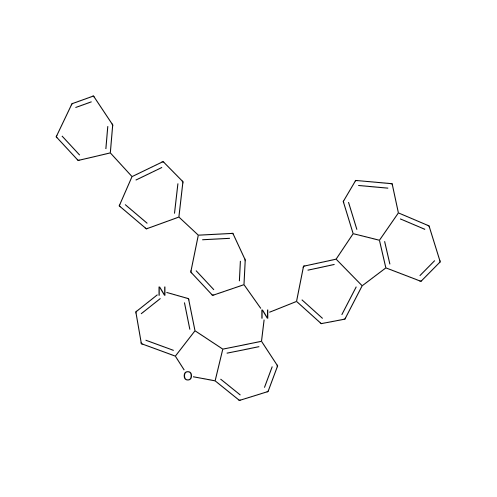 c1ccc(-c2ccc(-c3ccc(N(c4ccc5c(c4)-c4cccc6cccc-5c46)c4cccc5oc6ccncc6c45)cc3)cc2)cc1